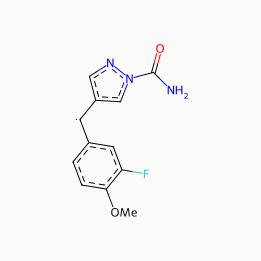 COc1ccc([CH]c2cnn(C(N)=O)c2)cc1F